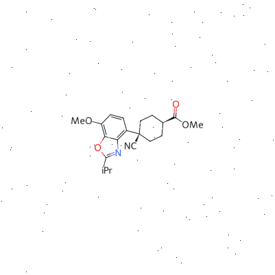 COc1ccc([C@]2(C#N)CC[C@@H](C(=O)OC)CC2)c2nc(C(C)C)oc12